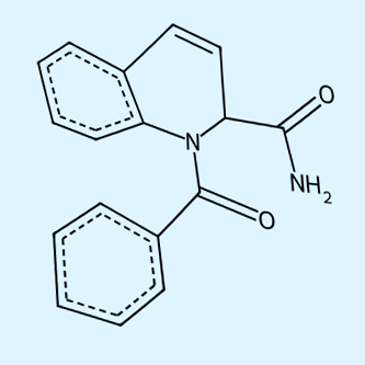 NC(=O)C1C=Cc2ccccc2N1C(=O)c1ccccc1